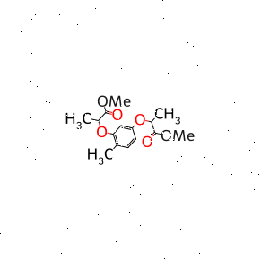 COC(=O)C(C)Oc1ccc(C)c(OC(C)C(=O)OC)c1